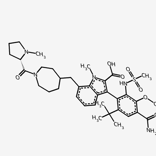 COc1c(C(N)=O)cc(C(C)(C)C)c(-c2c(C(=O)O)n(C)c3c(CC4CCCN(C(=O)[C@@H]5CCCN5C)CC4)cccc23)c1NS(C)(=O)=O